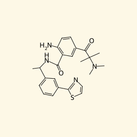 CC(NC(=O)c1cc(C(=O)C(C)(C)N(C)C)ccc1N)c1cccc(-c2nccs2)c1